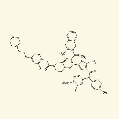 COc1ncc(N(C(=O)c2cc(-c3cc4c(cc3C(=O)N3Cc5ccccc5C[C@H]3C)CN(C(=O)Cc3ccc(OCCN5CCOCC5)cc3F)CC4)n(C)c2C)c2ccc(O)cc2)cc1F